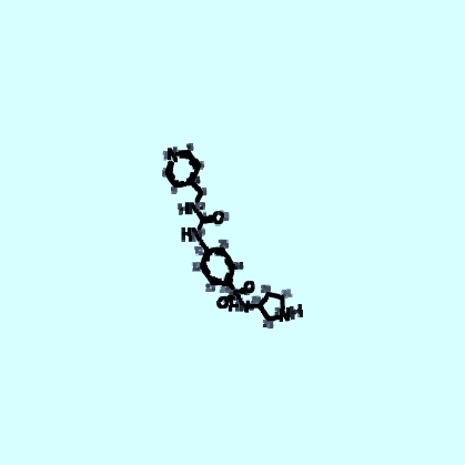 O=C(NCc1ccncc1)Nc1ccc(S(=O)(=O)NC2CCNC2)cc1